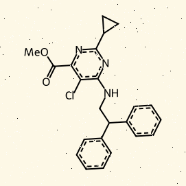 COC(=O)c1nc(C2CC2)nc(NCC(c2ccccc2)c2ccccc2)c1Cl